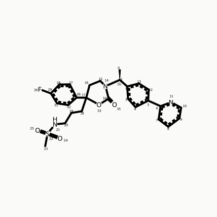 C[C@@H](c1ccc(-c2ccccn2)cc1)N1CCC(CCCNS(C)(=O)=O)(c2ccc(F)cc2)OC1=O